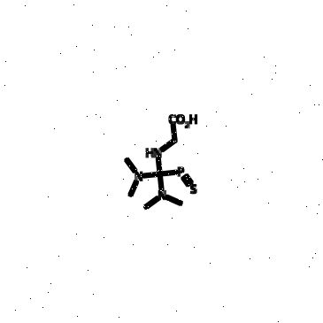 CN(C)C(NCC(=O)O)(P=S)N(C)C